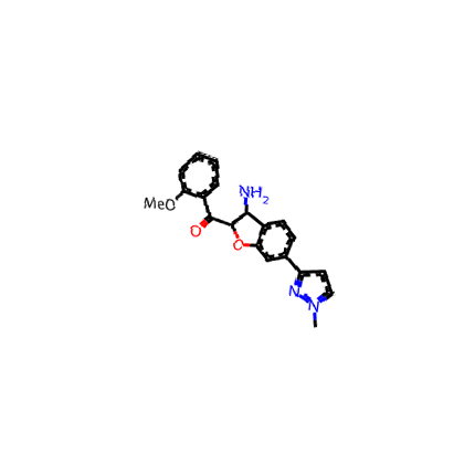 COc1ccccc1C(=O)C1Oc2cc(-c3ccn(C)n3)ccc2C1N